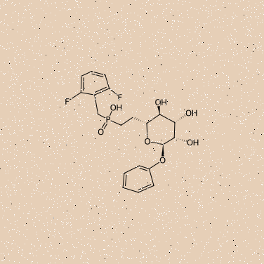 O=P(O)(CC[C@H]1O[C@H](Oc2ccccc2)[C@@H](O)[C@@H](O)[C@@H]1O)Cc1c(F)cccc1F